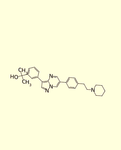 CC(C)(O)c1cccc(-c2cnn3cc(-c4ccc(CCN5CCCCC5)cc4)cnc23)c1